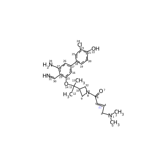 CN(C)C/C=C/C(=O)N1CC(C(C)(C)Oc2cc(-c3ccc(O)c(Cl)c3)cc(N)c2C=N)C1